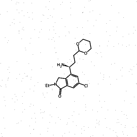 CCN1Cc2c(cc(Cl)cc2[C@@H](N)CCC2OCCCO2)C1=O